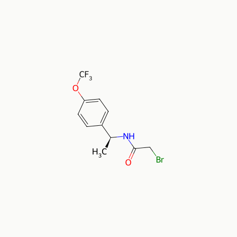 C[C@H](NC(=O)CBr)c1ccc(OC(F)(F)F)cc1